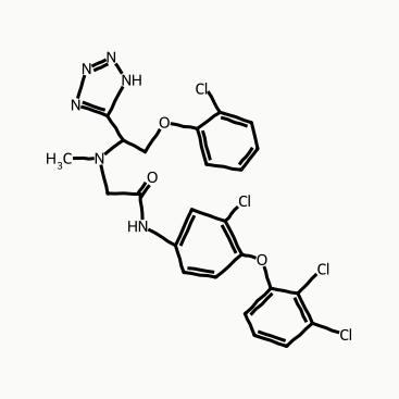 CN(CC(=O)Nc1ccc(Oc2cccc(Cl)c2Cl)c(Cl)c1)C(COc1ccccc1Cl)c1nnn[nH]1